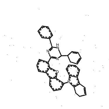 C1=CCC(C2N=C(c3cccc4c3oc3c(-n5c6c(c7ccccc75)C=CCC6)cccc34)N=C(c3ccccc3)N2)C=C1